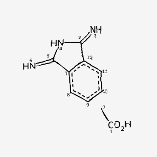 CC(=O)O.N=C1NC(=N)c2ccccc21